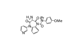 COc1ccc(N(C(=O)N2C(=O)C(N)C(=O)N(c3cccnc3)c3ccccc32)C(C)C)cc1